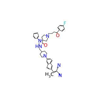 CC(=C(C#N)C#N)c1ccc2cc(N3CCC(CNCN(c4ccccc4)C4(C=O)CCN(CCCC(=O)c5ccc(F)cc5)CC4)CC3)ccc2c1